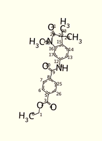 CCOC(=O)c1ccc(C(=O)Nc2ccc3c(c2)N(C)C(=O)C3(C)C)cc1